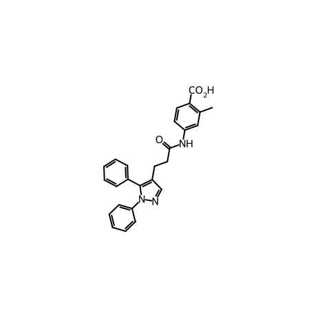 Cc1cc(NC(=O)CCc2cnn(-c3ccccc3)c2-c2ccccc2)ccc1C(=O)O